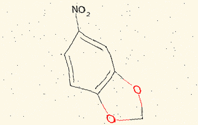 O=[N+]([O-])c1[c]cc2c(c1)OCO2